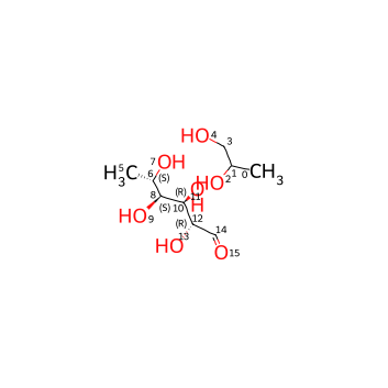 CC(O)CO.C[C@H](O)[C@H](O)[C@@H](O)[C@@H](O)C=O